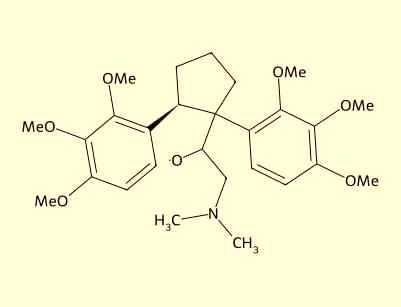 COc1ccc([C@H]2CCCC2(c2ccc(OC)c(OC)c2OC)C([O])CN(C)C)c(OC)c1OC